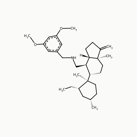 C=C1CC[C@H]2[C@H](CNCc3cc(OC)cc(OC)c3)[C@@H]([C@@]3(C)CC[C@H](C)C[C@@H]3CC)CC[C@]12C